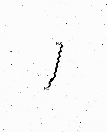 CCCCCCCCCCCCCCC#CC=CO